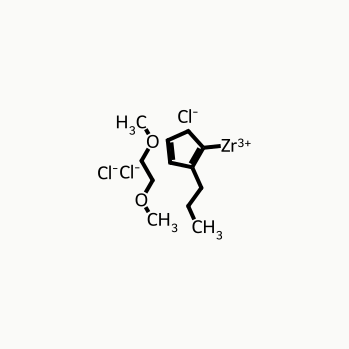 CCCC1=[C]([Zr+3])CC=C1.COCCOC.[Cl-].[Cl-].[Cl-]